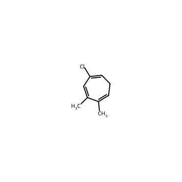 CC1=CCC=C(Cl)C=C1C